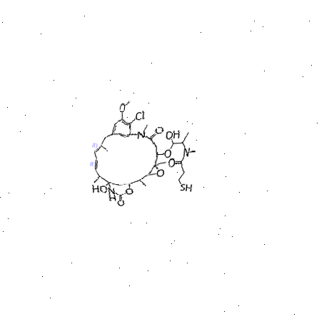 COc1cc2cc(c1Cl)N(C)C(=O)CC(OC(O)C(C)N(C)C(=O)CCS)C1(C)OC1C(C)C1CC(O)(NC(=O)O1)C(C)/C=C/C=C(\C)C2